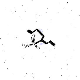 C=C/C=C\C(=C/C=C)S(N)(=O)=O